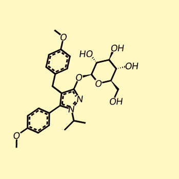 COc1ccc(Cc2c(O[C@@H]3O[C@H](CO)[C@@H](O)[C@H](O)[C@H]3O)nn(C(C)C)c2-c2ccc(OC)cc2)cc1